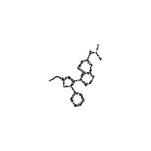 CCn1cc(-c2ncnc3cc(OC(F)F)ccc23)c(-c2ccccc2)n1